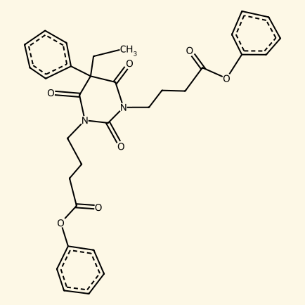 CCC1(c2ccccc2)C(=O)N(CCCC(=O)Oc2ccccc2)C(=O)N(CCCC(=O)Oc2ccccc2)C1=O